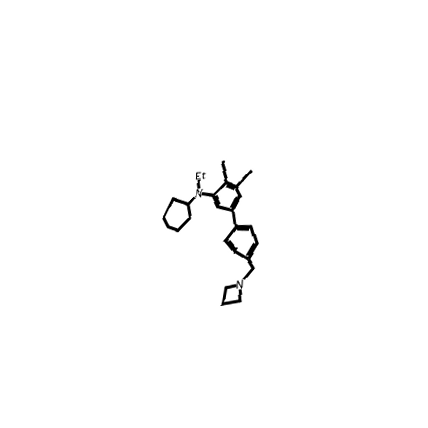 CCN(c1cc(-c2ccc(CN3CCC3)cc2)cc(C)c1C)C1CCCCC1